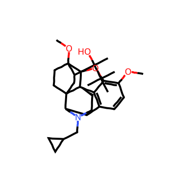 COc1ccc2c3c1OC1C4(OC)CCC5(CC4C(C)(O)C(C)(C)C)C(C2)N(CC2CC2)CC[C@]315